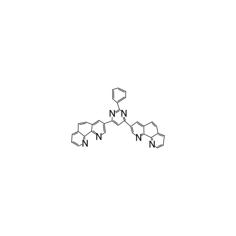 c1ccc(-c2nc(-c3cnc4c(ccc5cccnc54)c3)cc(-c3cnc4c(ccc5cccnc54)c3)n2)cc1